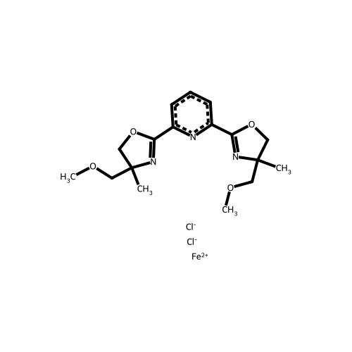 COCC1(C)COC(c2cccc(C3=NC(C)(COC)CO3)n2)=N1.[Cl-].[Cl-].[Fe+2]